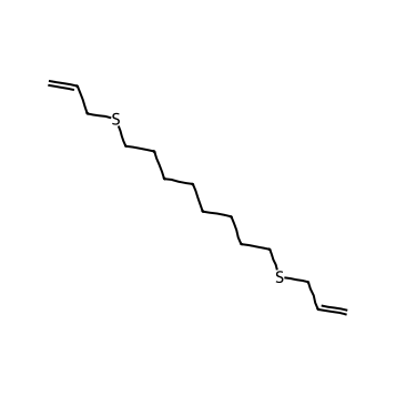 C=CCSCCCCCCCCSCC=C